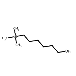 C[Si](C)(C)CCCCCCO